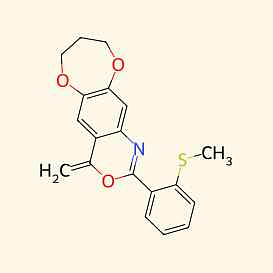 C=C1OC(c2ccccc2SC)=Nc2cc3c(cc21)OCCCO3